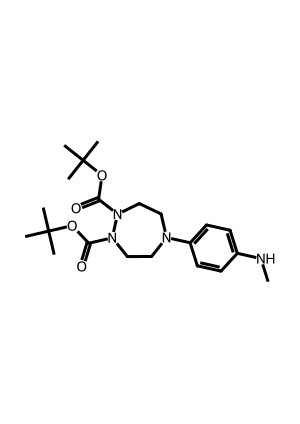 CNc1ccc(N2CCN(C(=O)OC(C)(C)C)N(C(=O)OC(C)(C)C)CC2)cc1